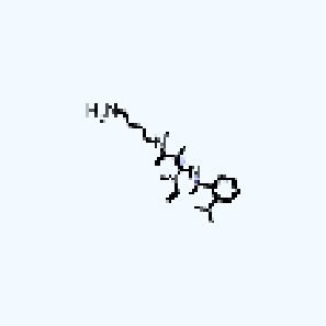 C=CN(C)C(/N=C(\C)c1ccccc1C(C)C)=C(/C)C(=C)N(C)CCCCN